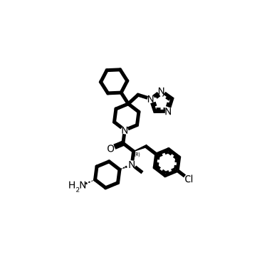 CN([C@H]1CC[C@@H](N)CC1)[C@H](Cc1ccc(Cl)cc1)C(=O)N1CCC(Cn2cncn2)(C2CCCCC2)CC1